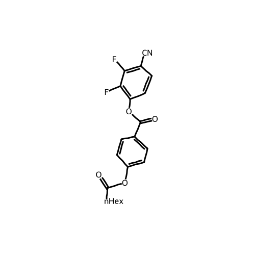 CCCCCCC(=O)Oc1ccc(C(=O)Oc2ccc(C#N)c(F)c2F)cc1